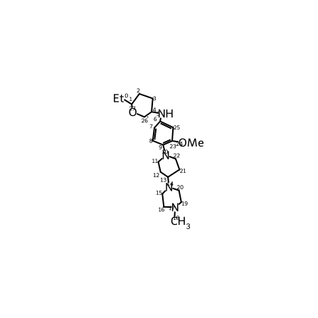 CCC1CCC(Nc2ccc(N3CCC(N4CCN(C)CC4)CC3)c(OC)c2)[CH]O1